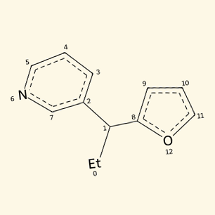 CCC(c1cccnc1)c1ccco1